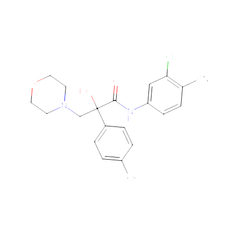 N#Cc1ccc(NC(=O)C(O)(CN2CCOCC2)c2ccc(C(F)(F)F)cc2)cc1Cl